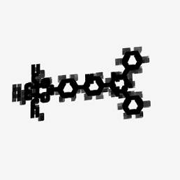 CC1(C)OB(c2ccc(-c3ccc(-c4nc(-c5ccccc5)nc(-c5ccccc5)n4)cn3)cc2)OC1(C)C